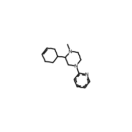 CN1CCN(c2ccccn2)CC1C1CC=CCC1